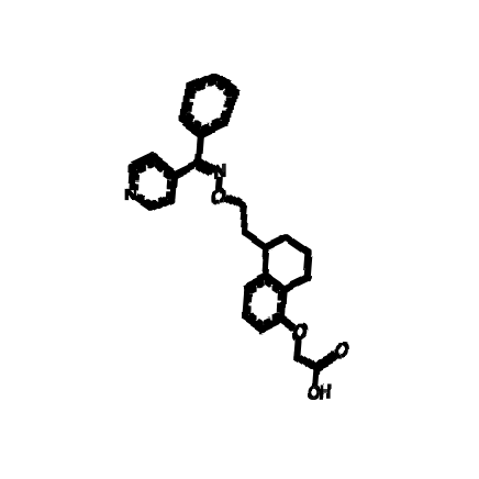 O=C(O)COc1cccc2c1CCCC2CCO/N=C(/c1ccccc1)c1ccncc1